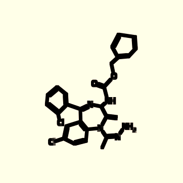 C=C1C(NC(=O)OCc2ccccc2)N=C(c2ccccc2Cl)c2cc(Cl)ccc2N1/C(C)=N\N